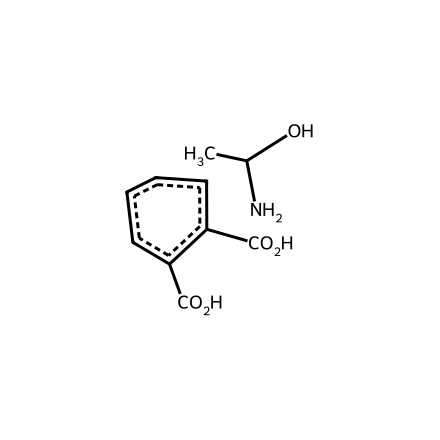 CC(N)O.O=C(O)c1ccccc1C(=O)O